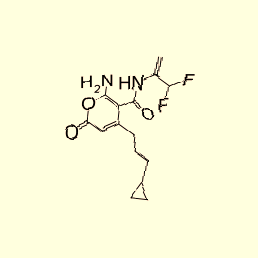 C=C(NC(=O)c1c(CCCC2CC2)cc(=O)oc1N)C(F)F